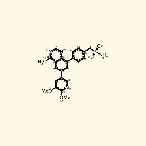 COc1cc(-c2cc(-c3ccc(CS(N)(=O)=O)cc3)c3ncnc(C)c3c2)cnc1OC